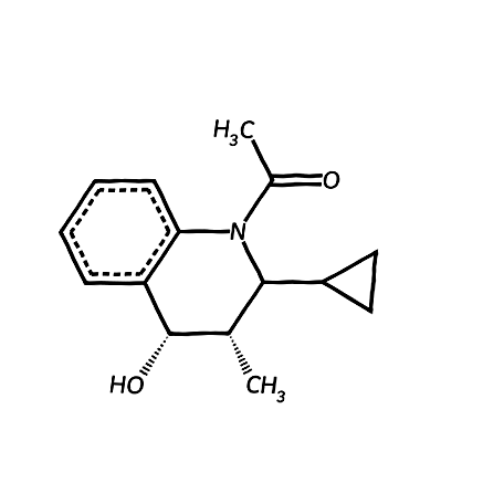 CC(=O)N1c2ccccc2[C@@H](O)[C@@H](C)C1C1CC1